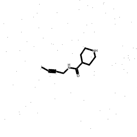 O=C(NCC#CI)C1CCNCC1